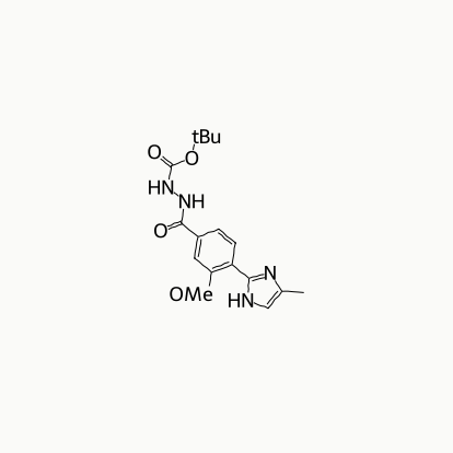 COc1cc(C(=O)NNC(=O)OC(C)(C)C)ccc1-c1nc(C)c[nH]1